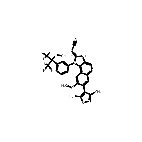 COc1cc2c(cc1-c1c(C)noc1C)ncc1[nH]/c(=N\C#N)n(-c3cccc(C(OC)(C(F)(F)F)C(F)(F)F)c3)c12